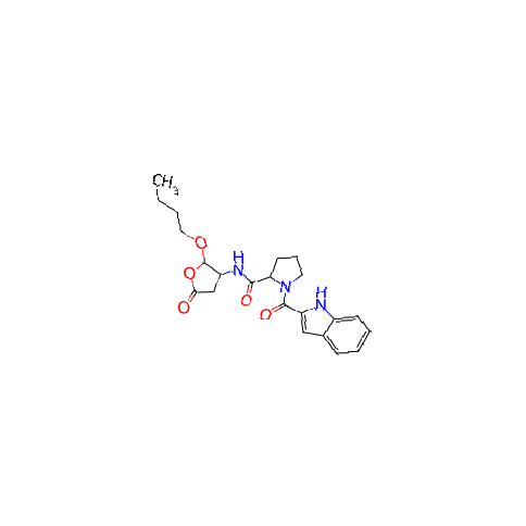 CCCCOC1OC(=O)CC1NC(=O)C1CCCN1C(=O)c1cc2ccccc2[nH]1